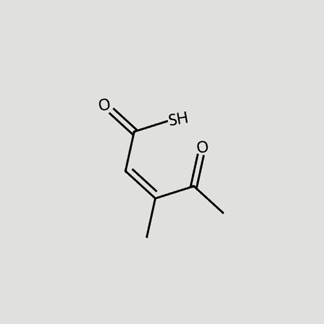 CC(=O)/C(C)=C\C(=O)S